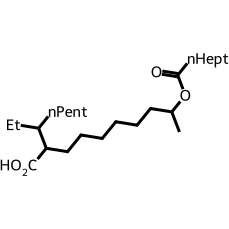 CCCCCCCC(=O)OC(C)CCCCCCC(C(=O)O)C(CC)CCCCC